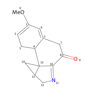 COC1=CCC2C(=C1)CC(=O)C1=NCC3CC132